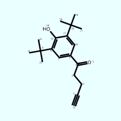 C#CCCC(=O)c1cc(C(C)(C)C)c(O)c(C(C)(C)C)c1